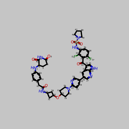 O=C1CCC(Nc2ccc(CC(=O)NC3CC(OC4CCN(c5ccc(-c6cnc7[nH]cc(C(=O)c8c(F)ccc(NS(=O)(=O)N9CCCC9)c8F)c7c6)cn5)CC4)C3)cc2)C(=O)N1